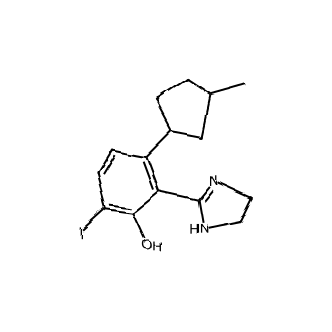 CC1CCC(c2ccc(I)c(O)c2C2=NCCN2)C1